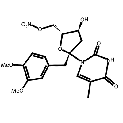 COc1ccc(C[C@]2(n3cc(C)c(=O)[nH]c3=O)C[C@H](O)[C@@H](CO[N+](=O)[O-])O2)cc1OC